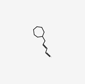 [CH]=CC=CCC1CCCCCC1